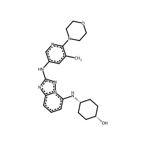 Cc1cc(Nc2nc3cccc(N[C@H]4CC[C@@H](O)CC4)n3n2)cnc1N1CCOCC1